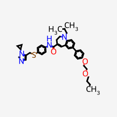 CCCCOCCOc1ccc(-c2ccc3c(c2)C=C(C(=O)Nc2ccc(SCc4cncn4C4CC4)cc2)CCN3CC(C)C)cc1